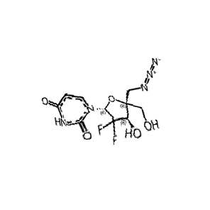 [N-]=[N+]=NC[C@]1(CO)O[C@@H](n2ccc(=O)[nH]c2=O)C(F)(F)[C@@H]1O